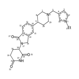 CCn1ccc(CN2CCC(c3ccc4c(c3)CN(C3CCC(=O)NC3=O)C4=O)CC2)c1